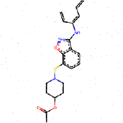 C=C/C=C(\C=C)Nc1noc2c(SN3CCC(OC(C)=O)CC3)cccc12